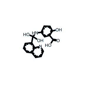 O=C(O)c1cc(NC(O)(O)c2cccc3cccnc23)ccc1O